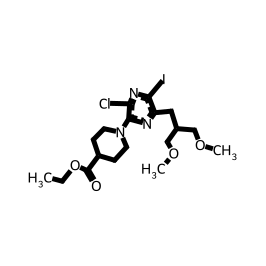 CCOC(=O)C1CCN(c2nc(CC(COC)COC)c(I)nc2Cl)CC1